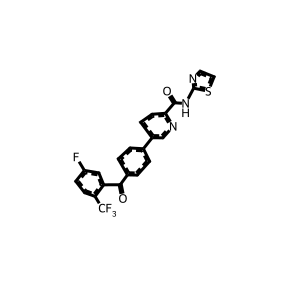 O=C(Nc1nccs1)c1ccc(-c2ccc(C(=O)c3cc(F)ccc3C(F)(F)F)cc2)cn1